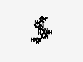 Fc1ccc(-c2nccc3[nH]c(-c4n[nH]c5ncc(-c6cn[nH]c6)cc45)nc23)s1